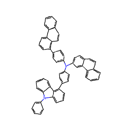 c1ccc(-n2c3ccccc3c3c(-c4ccc(N(c5ccc(-c6cccc7c6ccc6ccccc67)cc5)c5ccc6ccc7ccccc7c6c5)cc4)cccc32)cc1